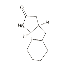 O=C1C[C@H]2CC3=C(CCCC3)[C@H]2N1